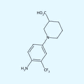 Nc1ccc(N2CCCC(C(=O)O)C2)cc1C(F)(F)F